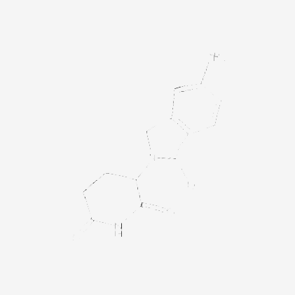 CC(C)(C)c1ccc2c(c1)CN(C1CCC(=O)NC1=O)C2O